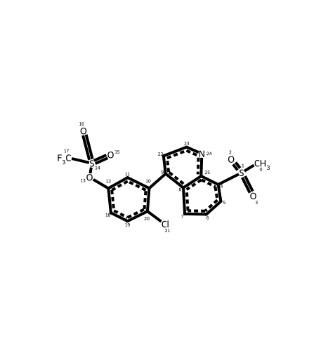 CS(=O)(=O)c1cccc2c(-c3cc(OS(=O)(=O)C(F)(F)F)ccc3Cl)ccnc12